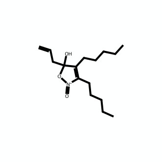 C=CCC1(O)O[N+](=O)C(CCCCC)=C1CCCCC